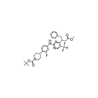 COC(=O)CC(Cc1ccccc1)c1nc(Nc2ccc(C3CCN(C(=O)OC(C)(C)C)CC3)c(F)c2)ncc1C(F)(F)F